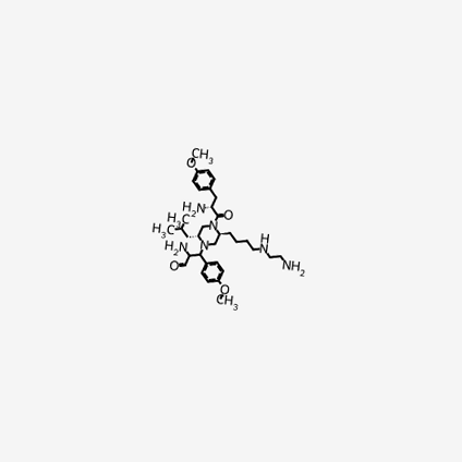 COc1ccc(C[C@@H](N)C(=O)N2C[C@@H](CC(C)C)N(C(c3ccc(OC)cc3)C(N)C=O)C[C@@H]2CCCCNCCN)cc1